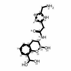 NCc1nnc(CC(=O)N[C@H]2Cc3cccc(C(O)O)c3OB2O)[nH]1